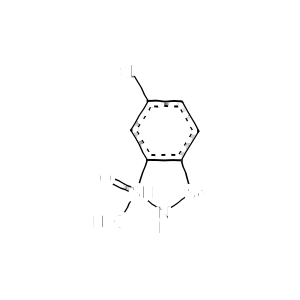 C[SH]1(=O)N[Se]c2ccc(Cl)cc21